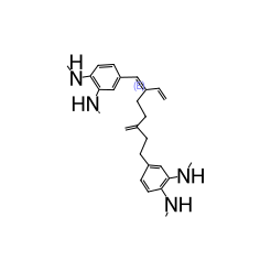 C=C/C(=C/c1ccc(NC)c(NC)c1)CCC(=C)CCc1ccc(NC)c(NC)c1